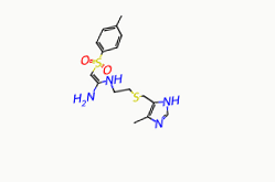 Cc1ccc(S(=O)(=O)C=C(N)NCCSCc2[nH]cnc2C)cc1